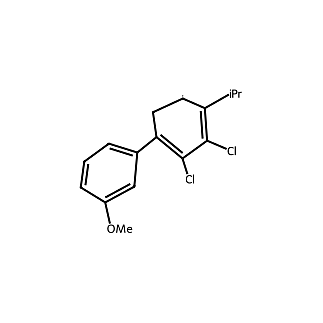 COc1cccc(C2=C(Cl)C(Cl)=C(C(C)C)[CH]C2)c1